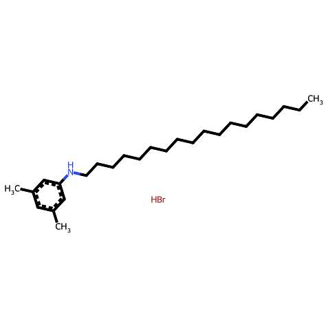 Br.CCCCCCCCCCCCCCCCCCNc1cc(C)cc(C)c1